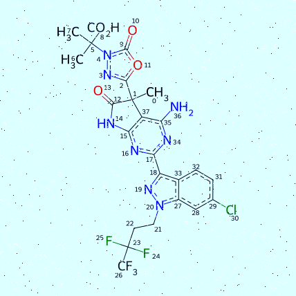 CC1(c2nn(C(C)(C)C(=O)O)c(=O)o2)C(=O)Nc2nc(-c3nn(CCC(F)(F)C(F)(F)F)c4cc(Cl)ccc34)nc(N)c21